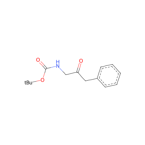 CC(C)(C)OC(=O)NCC(=O)Cc1ccccc1